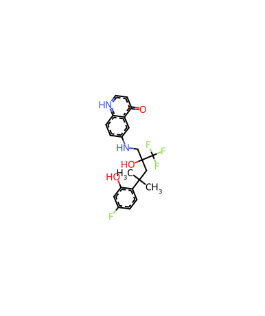 CC(C)(CC(O)(CNc1ccc2[nH]ccc(=O)c2c1)C(F)(F)F)c1ccc(F)cc1O